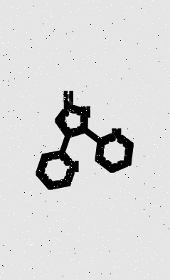 c1ccc(-c2c[nH]nc2-c2ccccn2)nc1